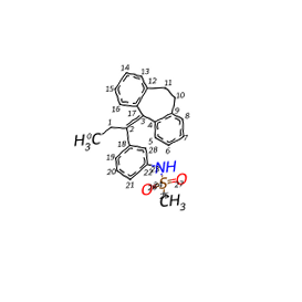 CCC(=C1c2ccccc2CCc2ccccc21)c1cccc(NS(C)(=O)=O)c1